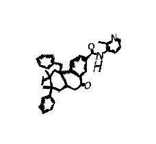 Cc1ncccc1NC(=O)c1ccc2c(c1)C(=O)CC1CC(C)(c3ccccc3)C(C)(I)CC21Cc1ccccc1